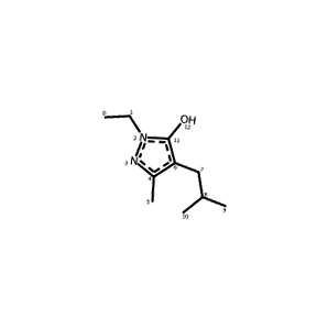 CCn1nc(C)c(CC(C)C)c1O